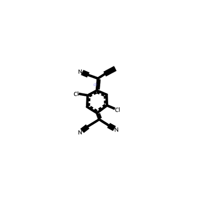 C#C/C(C#N)=c1\cc(Cl)c(=C(C#N)C#N)cc1Cl